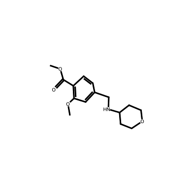 COC(=O)c1ccc(CNC2CCOCC2)cc1OC